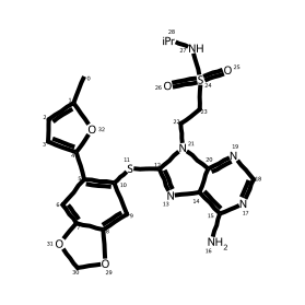 Cc1ccc(-c2cc3c(cc2Sc2nc4c(N)ncnc4n2CCS(=O)(=O)NC(C)C)OCO3)o1